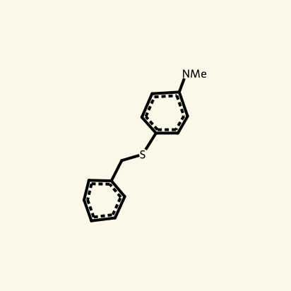 CNc1ccc(SCc2ccccc2)cc1